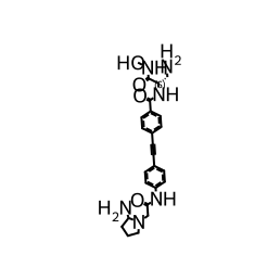 NC[C@H](NC(=O)c1ccc(C#Cc2ccc(NC(=O)CN3CCCC3N)cc2)cc1)C(=O)NO